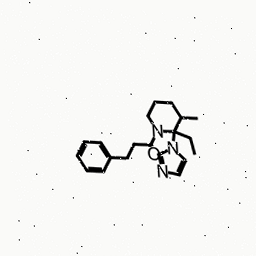 CCC1(n2ccnc2)C(C)CCCN1C(=O)CCc1ccccc1